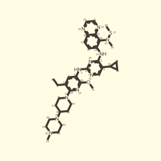 CCc1cc(Nc2ncc(C3CC3)c(Nc3ccc4nccnc4c3N(C)SC)n2)c(OC)nc1N1CCC(N2CCN(C)CC2)CC1